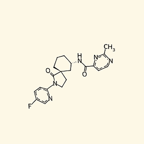 Cc1nccc(C(=O)N[C@H]2CCC[C@]3(CCN(c4ccc(F)cn4)C3=O)C2)n1